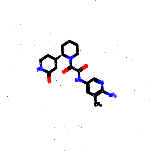 Cc1cc(NC(=O)C(=O)N2CCCC[C@H]2C2CCNC(=O)C2)cnc1N